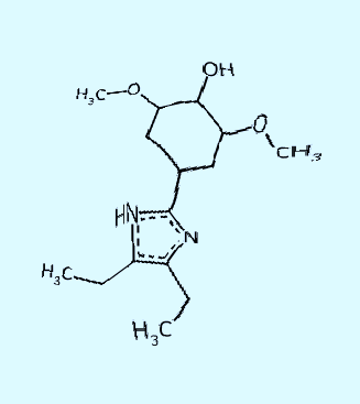 CCc1nc(C2CC(OC)C(O)C(OC)C2)[nH]c1CC